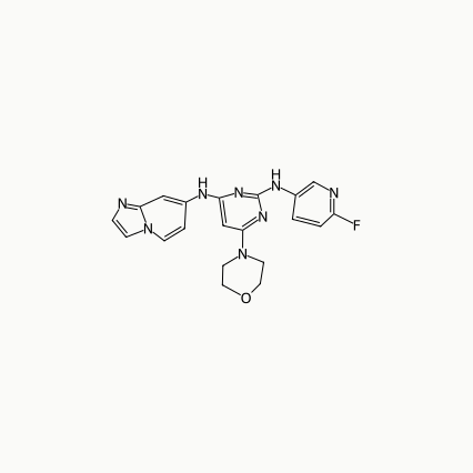 Fc1ccc(Nc2nc(Nc3ccn4ccnc4c3)cc(N3CCOCC3)n2)cn1